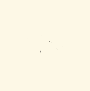 COC(=O)[C@H]1C[C@@]2(C(=O)OC(C)(C)C)CCCN2[C@H]1c1ccn(C2CCCCO2)n1